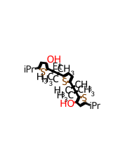 CCC(C)(c1sc(C(C)C)cc1O)C(C)(C)c1ccc(C(C)(C)C(C)(C)c2sc(C(C)C)cc2O)s1